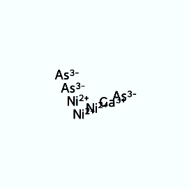 [As-3].[As-3].[As-3].[Ga+3].[Ni+2].[Ni+2].[Ni+2]